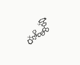 CC1(C)c2ccccc2-c2ccc(-c3cc4c5cc(N(c6ccccc6)c6ccc7c(c6)C(C)(C)c6ccccc6-7)ccc5oc4c4ccccc34)cc21